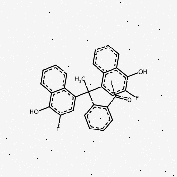 CC(c1ccccc1C(=O)I)(c1cc(F)c(O)c2ccccc12)c1cc(F)c(O)c2ccccc12